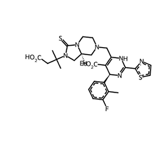 CCOC(=O)C1=C(CN2CCN3C(=S)N(C(C)(C)CC(=O)O)C[C@@H]3C2)NC(c2nccs2)=N[C@H]1c1cccc(F)c1C